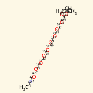 C=C/C=C/COCCOCCOCCOCCOCCOCCOCCOCCOCCC(=O)OC(C)(C)C